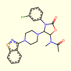 CC(=O)N(C)C1OC(=O)N(c2cccc(F)c2)C1N1CCN(c2nsc3ccccc23)CC1